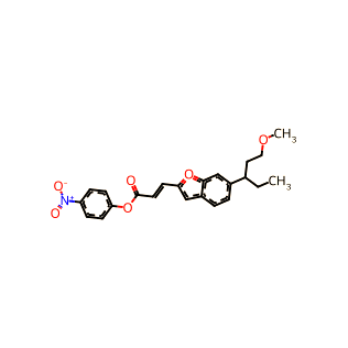 CCC(CCOC)c1ccc2cc(/C=C/C(=O)Oc3ccc([N+](=O)[O-])cc3)oc2c1